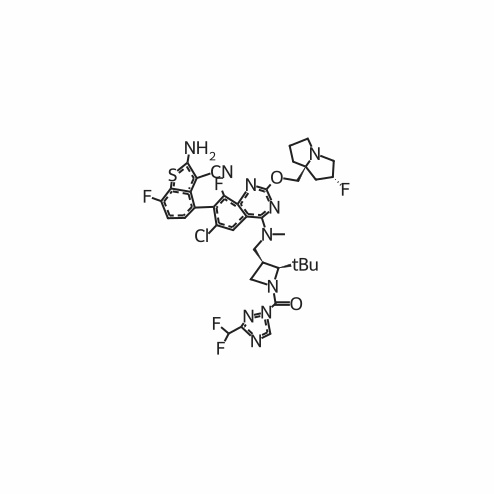 CN(C[C@@H]1CN(C(=O)n2cnc(C(F)F)n2)[C@@H]1C(C)(C)C)c1nc(OC[C@@]23CCCN2C[C@H](F)C3)nc2c(F)c(-c3ccc(F)c4sc(N)c(C#N)c34)c(Cl)cc12